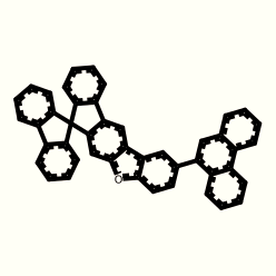 c1ccc2c(c1)-c1ccccc1C21c2ccccc2-c2cc3c(cc21)oc1ccc(-c2cc4ccccc4c4ccccc24)cc13